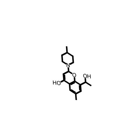 Cc1cc2c(c(C(C)O)c1)OC(N1CCC(C)CC1)C=C2O